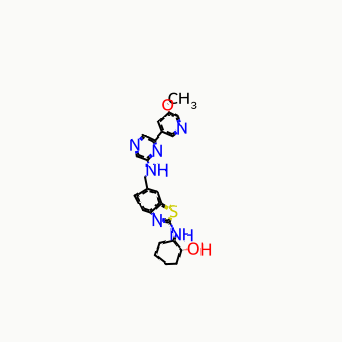 COc1cncc(-c2cncc(NCc3ccc4nc(NC5CCCC[C@H]5O)sc4c3)n2)c1